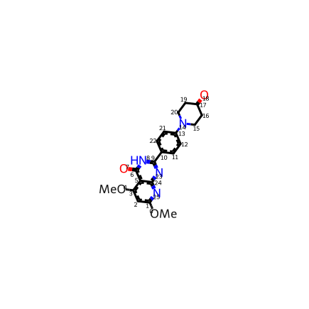 COc1cc(OC)c2c(=O)[nH]c(-c3ccc(N4CCC(=O)CC4)cc3)nc2n1